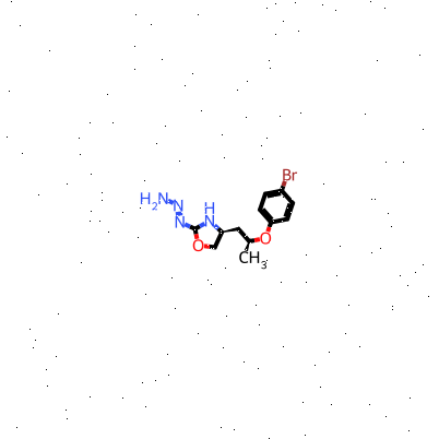 C[C@@H](C[C@H]1COC(N=NN)N1)Oc1ccc(Br)cc1